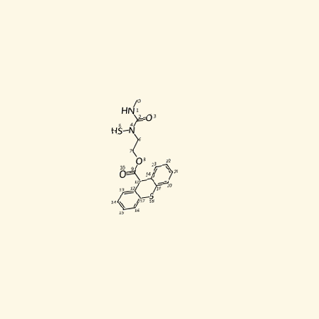 CNC(=O)N(S)CCOC(=O)C1c2ccccc2Sc2ccccc21